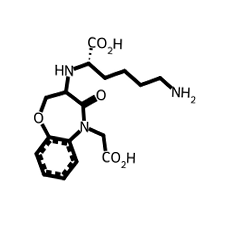 NCCCC[C@H](NC1COc2ccccc2N(CC(=O)O)C1=O)C(=O)O